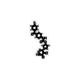 O=C(NC1CCN(C(=O)c2ccc(F)cc2)CC1)O[C@@H]1CCN(c2cn[nH]c(=O)c2Cl)C1